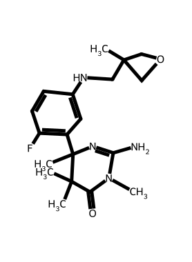 CN1C(=O)C(C)(C)C(C)(c2cc(NCC3(C)COC3)ccc2F)N=C1N